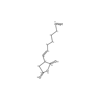 CCCCCCCCCCC/C=C/C1CC(=O)OC1=O